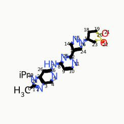 Cc1nc2cnc(Nc3ccnc(-c4cnn(C5CCS(=O)(=O)C5)c4)n3)cc2n1C(C)C